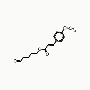 COc1ccc(C=CC(=O)OCCCCC=O)cc1